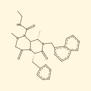 CCNC(=O)N1C2[C@H](C)N(Cc3cccc4ccccc34)C(=O)[C@H](Cc3ccccc3)N2C(=O)CN1C